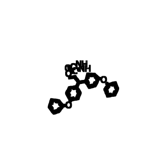 CCC(c1ccc(Oc2ccccc2)cc1)c1ccc(Oc2ccccc2)cc1.N=C=O.N=C=O